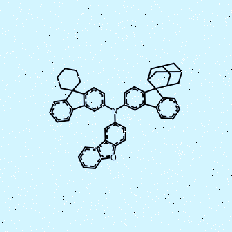 c1ccc2c(c1)-c1cc(N(c3ccc4c(c3)-c3ccccc3C43C4CC5CC(C4)CC3C5)c3ccc4oc5ccccc5c4c3)ccc1C21CCCCC1